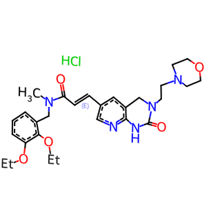 CCOc1cccc(CN(C)C(=O)/C=C/c2cnc3c(c2)CN(CCN2CCOCC2)C(=O)N3)c1OCC.Cl